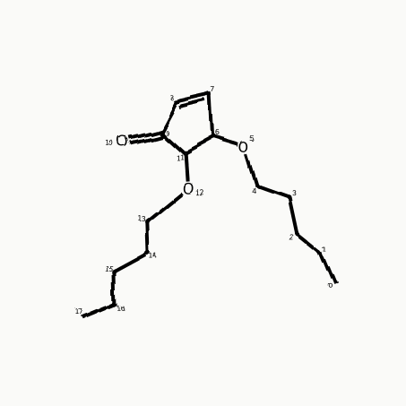 CCCCCOC1C=CC(=O)C1OCCCCC